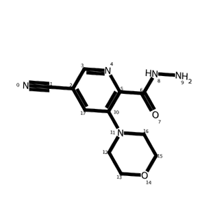 N#Cc1cnc(C(=O)NN)c(N2CCOCC2)c1